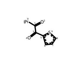 CC(C)C(=O)C(=O)c1cccs1